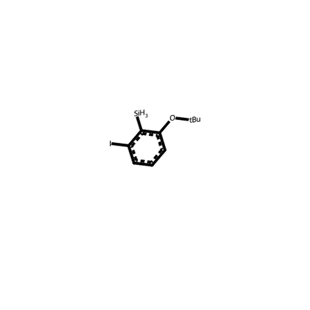 CC(C)(C)Oc1cccc(I)c1[SiH3]